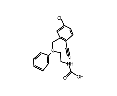 N#Cc1ccc(Cl)cc1CN(CCNC(=O)O)c1ccccc1